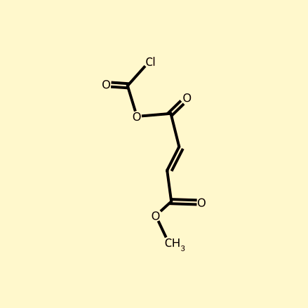 COC(=O)C=CC(=O)OC(=O)Cl